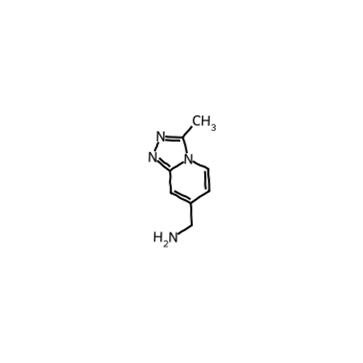 Cc1nnc2cc(CN)ccn12